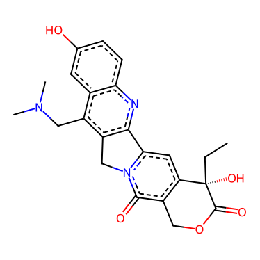 CC[C@@]1(O)C(=O)OCc2c1cc1n(c2=O)Cc2c-1nc1ccc(O)cc1c2CN(C)C